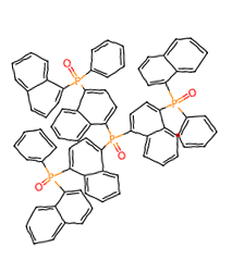 O=P(c1ccccc1)(c1cccc2ccccc12)c1ccc(P(=O)(c2ccc(P(=O)(c3ccccc3)c3cccc4ccccc34)c3ccccc23)c2ccc(P(=O)(c3ccccc3)c3cccc4ccccc34)c3ccccc23)c2ccccc12